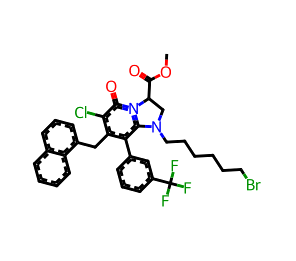 COC(=O)C1CN(CCCCCCBr)c2c(-c3cccc(C(F)(F)F)c3)c(Cc3cccc4ccccc34)c(Cl)c(=O)n21